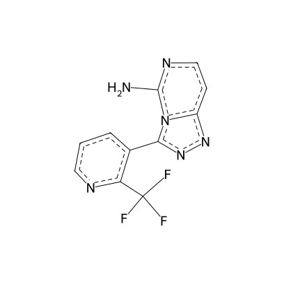 Nc1nccc2nnc(-c3cccnc3C(F)(F)F)n12